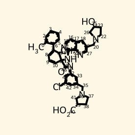 Cc1ccccc1C1=CC=CC(Nc2nccc3cc(CN4CC[C@@H](O)C4)cnc23)(c2nc3cc(CN4CC[C@@H](C(=O)O)C4)cc(Cl)c3o2)C1C